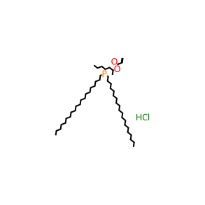 C=CC(=O)OC(C)CC(CCC)P(CCCCCCCCCCCCCCCCCCCC)CCCCCCCCCCCCCCCCCCCC.Cl